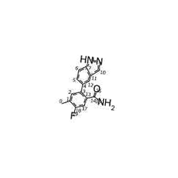 Cc1cc(-c2ccc3[nH]ncc3c2)c(C(N)=O)cc1F